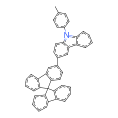 Cc1ccc(-n2c3ccccc3c3cc(-c4ccc5c(c4)-c4ccccc4C54c5ccccc5-c5ccccc54)ccc32)cc1